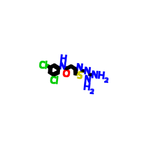 NC(N)=Nc1nc(CC(=O)Nc2cc(Cl)cc(Cl)c2)cs1